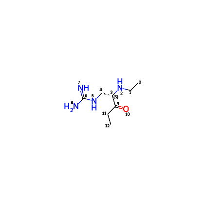 CCN[C@@H](CNC(=N)N)C(=O)CC